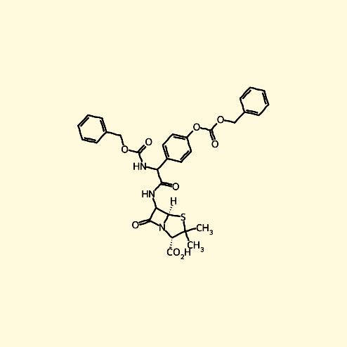 CC1(C)S[C@@H]2C(NC(=O)C(NC(=O)OCc3ccccc3)c3ccc(OC(=O)OCc4ccccc4)cc3)C(=O)N2[C@H]1C(=O)O